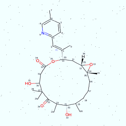 C/C(=C\c1ccc(C)cn1)[C@@H]1C[C@@H]2O[C@]2(C)CCCC(C)[C@H](O)C(C)C(=O)C(C)(C)C(O)CC(=O)O1